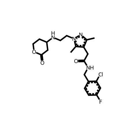 Cc1nn(CCNC2CCOC(=O)C2)c(C)c1CC(=O)NCc1ccc(F)cc1Cl